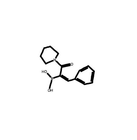 O=C(C(=Cc1ccccc1)B(O)O)N1CCCCC1